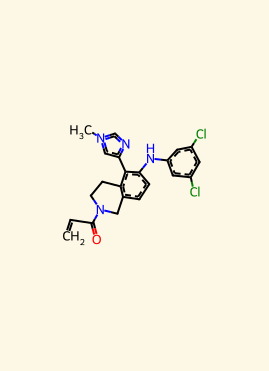 C=CC(=O)N1CCc2c(ccc(Nc3cc(Cl)cc(Cl)c3)c2-c2cn(C)cn2)C1